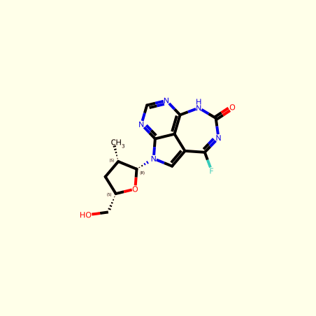 C[C@H]1C[C@@H](CO)O[C@H]1n1cc2c3c(ncnc31)NC(=O)N=C2F